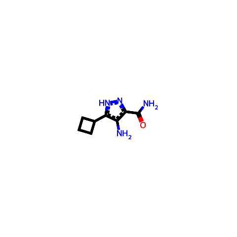 NC(=O)c1n[nH]c(C2CCC2)c1N